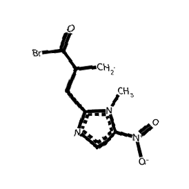 [CH2]C(Cc1ncc([N+](=O)[O-])n1C)C(=O)Br